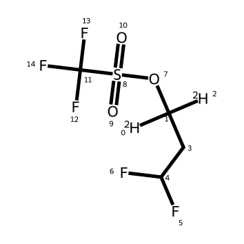 [2H]C([2H])(CC(F)F)OS(=O)(=O)C(F)(F)F